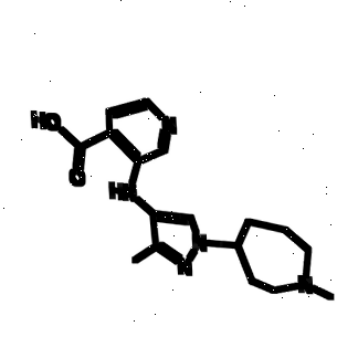 Cc1nn(C2CCCN(C)CC2)cc1Nc1cnccc1C(=O)O